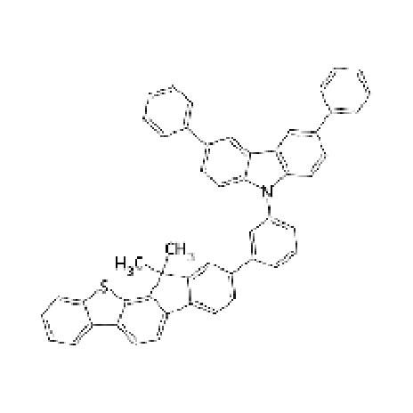 CC1(C)c2cc(-c3cccc(-n4c5ccc(-c6ccccc6)cc5c5cc(-c6ccccc6)ccc54)c3)ccc2-c2ccc3c(sc4ccccc43)c21